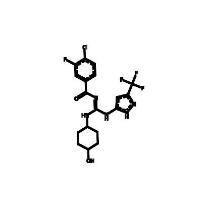 O=C(/N=C(/Nc1cc(C(F)(F)F)n[nH]1)NC1CCC(O)CC1)c1ccc(Cl)c(F)c1